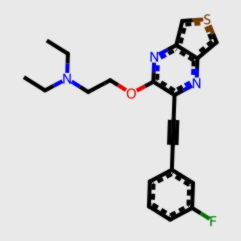 CCN(CC)CCOc1nc2cscc2nc1C#Cc1cccc(F)c1